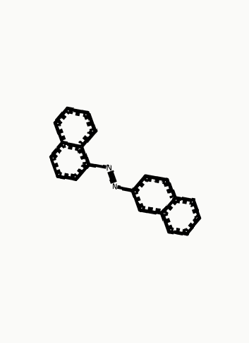 c1ccc2cc(N=Nc3cccc4ccccc34)ccc2c1